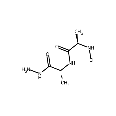 C[C@@H](NCl)C(=O)N[C@H](C)C(=O)NN